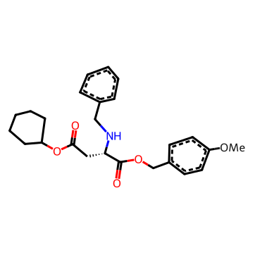 COc1ccc(COC(=O)[C@H](CC(=O)OC2CCCCC2)NCc2ccccc2)cc1